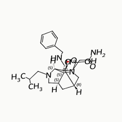 CC(C)CN1C[C@@H]2C[C@H]3CN(C(=O)O)[C@]2(C(=O)NCc2ccccc2)[C@@H]1[C@@H]3CCC(N)=O